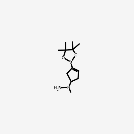 BN(C)C1CC=C(B2OC(C)(C)C(C)(C)O2)C1